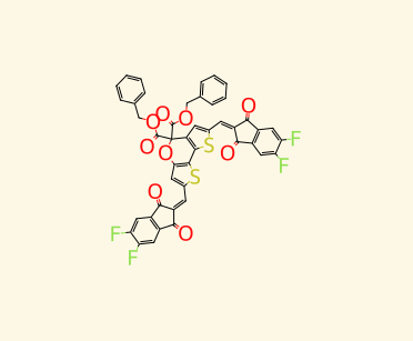 O=C1C(=Cc2cc3c(s2)-c2sc(C=C4C(=O)c5cc(F)c(F)cc5C4=O)cc2C(C(=O)OCc2ccccc2)(C(=O)OCc2ccccc2)O3)C(=O)c2cc(F)c(F)cc21